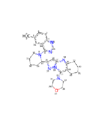 Cc1ccc2ncnc(N3CCCCC3c3cc4nc5c(c(N6CCOCC6)n4n3)CCCC5)c2c1